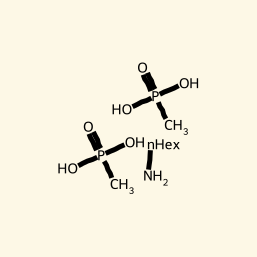 CCCCCCN.CP(=O)(O)O.CP(=O)(O)O